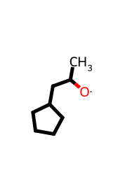 CC([O])CC1CCCC1